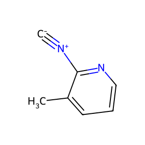 [C-]#[N+]c1ncccc1C